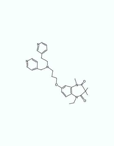 CCN1C(=O)C(C)(C)C(=O)N(C)c2cc(OCCCN(CCc3cccnc3)Cc3ccncc3)ccc21